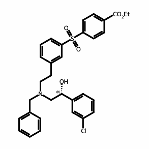 CCOC(=O)c1ccc(S(=O)(=O)c2cccc(CCN(Cc3ccccc3)C[C@H](O)c3cccc(Cl)c3)c2)cc1